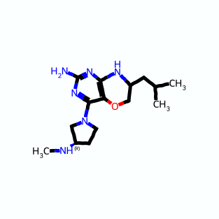 CN[C@@H]1CCN(c2nc(N)nc3c2OCC(CC(C)C)N3)C1